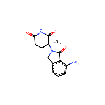 C[C@]1(N2Cc3cccc(N)c3C2=O)CCC(=O)NC1=O